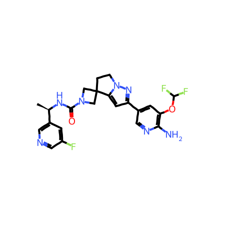 C[C@@H](NC(=O)N1CC2(CCn3nc(-c4cnc(N)c(OC(F)F)c4)cc32)C1)c1cncc(F)c1